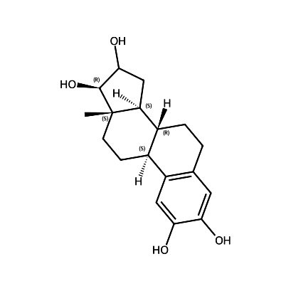 C[C@]12CC[C@@H]3c4cc(O)c(O)cc4CC[C@H]3[C@@H]1CC(O)[C@@H]2O